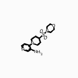 Nc1cnccc1N1CCC(S(=O)(=O)N2CCOCC2)CC1